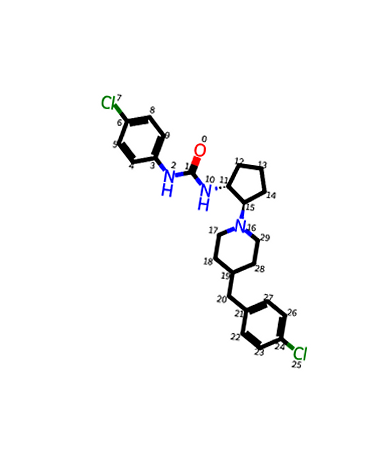 O=C(Nc1ccc(Cl)cc1)N[C@@H]1CCC[C@H]1N1CCC(Cc2ccc(Cl)cc2)CC1